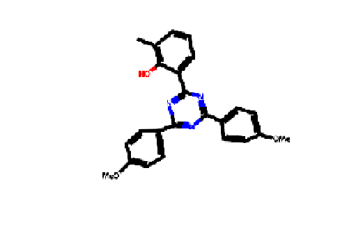 COc1ccc(-c2nc(-c3ccc(OC)cc3)nc(-c3cccc(C)c3O)n2)cc1